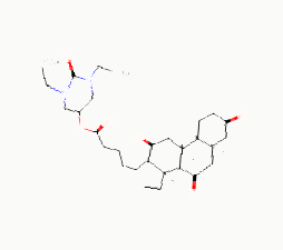 COCN1CC(OC(=O)CC[C@@H](C)[C@H]2CC[C@H]3[C@@H]4C(=O)C[C@@H]5CC(=O)CC[C@]5(C)[C@H]4CC(=O)[C@]23C)CN(COC)C1=O